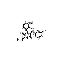 NNC(=O)N(N)c1cccc(Cl)c1COc1cccc(Br)n1